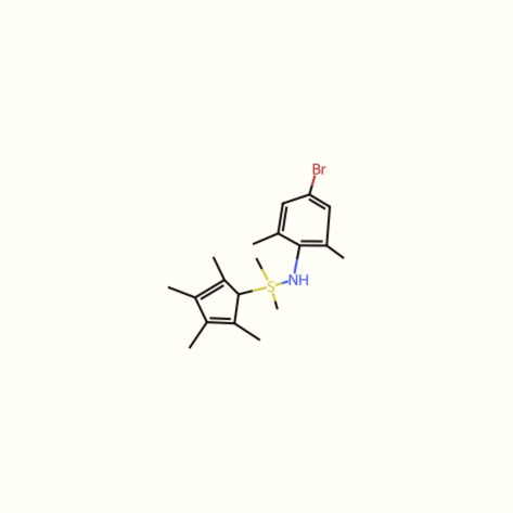 CC1=C(C)C(S(C)(C)Nc2c(C)cc(Br)cc2C)C(C)=C1C